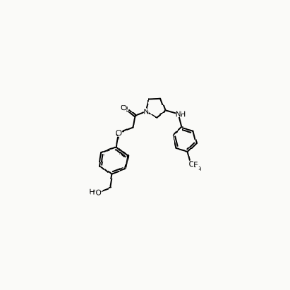 O=C(COc1ccc(CO)cc1)N1CCC(Nc2ccc(C(F)(F)F)cc2)C1